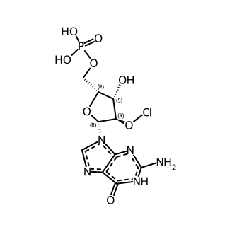 Nc1nc2c(ncn2[C@@H]2O[C@H](COP(=O)(O)O)[C@H](O)[C@H]2OCl)c(=O)[nH]1